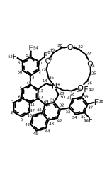 Fc1cc(-c2cc3ccccc3c3c2C[N+]2(CCOCCOCCOCCOCC2)Cc2c(-c4cc(F)c(F)c(F)c4)cc4ccccc4c2-3)cc(F)c1F